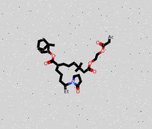 CCC(CCCC(CCCC(C)(C)CC(=O)OCCOC(=O)CC(C)=O)C(=O)OC1CC2CCC1(C)C2)N1CCCC1=O